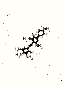 Nc1cc(C#Cc2c(N)cc(C3CCC(N)CC3)c(N)c2N)c(N)c(N)c1N